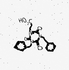 O=C(O)CCn1c(=O)n(Cc2ccccc2)c(=O)n(Cc2ccccc2)c1=O